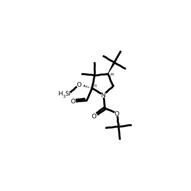 CC(C)(C)OC(=O)N1C[C@H](C(C)(C)C)C(C)(C)[C@@]1(C=O)O[SiH3]